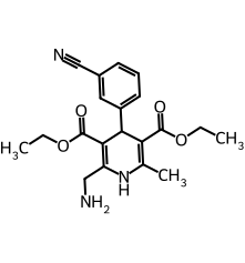 CCOC(=O)C1=C(C)NC(CN)=C(C(=O)OCC)C1c1cccc(C#N)c1